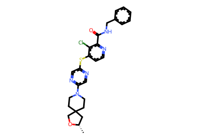 C[C@H]1CC2(CCN(c3cnc(Sc4ccnc(C(=O)NCc5ccccc5)c4Cl)cn3)CC2)CO1